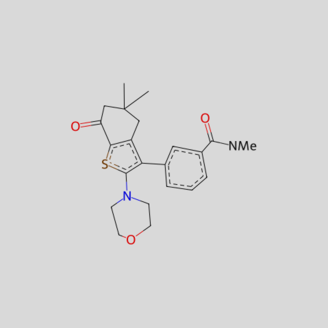 CNC(=O)c1cccc(-c2c(N3CCOCC3)sc3c2CC(C)(C)CC3=O)c1